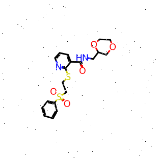 O=C(NCC1COCCO1)c1cccnc1SCCS(=O)(=O)c1ccccc1